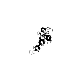 C[C@H]1CC[C@@H](C(=O)NCc2cc(-c3cnc(C(F)(F)F)nc3)ncc2N)N1S(=O)(=O)c1ccc(F)cn1